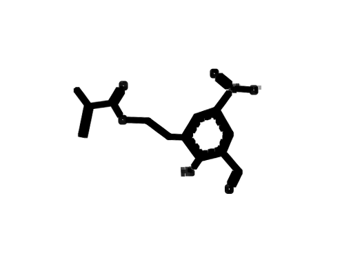 C=C(C)C(=O)OCCc1cc([N+](=O)[O-])cc(C=O)c1S